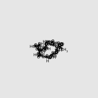 CCC1CN(C(=O)c2cc3cc(NC(=O)c4cc5cc(NC(=O)CCSSCC(NC(=O)C(CNC(=O)CN(CC(=O)O)CC(=O)O)NC(=O)CCC(NC(=O)c6ccc(NCc7cnc8nc(N)[nH]c(=O)c8n7)cc6)C(=O)O)C(=O)O)ccc5[nH]4)ccc3[nH]2)c2cc(O)c3ccccc3c21